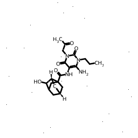 CCCn1c(N)c(NC(=O)C23CC4C[C@H](C[C@@H]2C4O)C3)c(=O)n(CC(C)=O)c1=O